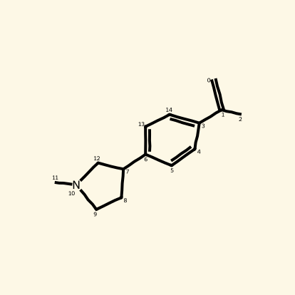 C=C(C)c1ccc(C2CCN(C)C2)cc1